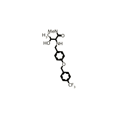 CNC(=O)C(NCc1ccc(OCc2ccc(C(F)(F)F)cc2)cc1)C(C)O